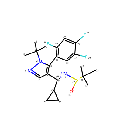 CC(C)(C)n1ncc([C@H](N[S+]([O-])C(C)(C)C)C2CC2)c1-c1cc(F)c(F)cc1F